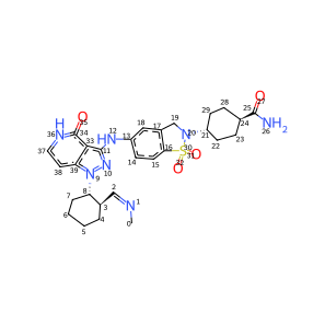 C/N=C\[C@H]1CCCC[C@@H]1n1nc(Nc2ccc3c(c2)CN([C@H]2CC[C@H](C(N)=O)CC2)S3(=O)=O)c2c(=O)[nH]ccc21